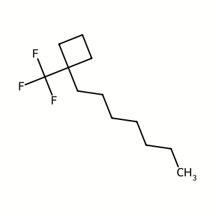 CCCCCCCC1(C(F)(F)F)CCC1